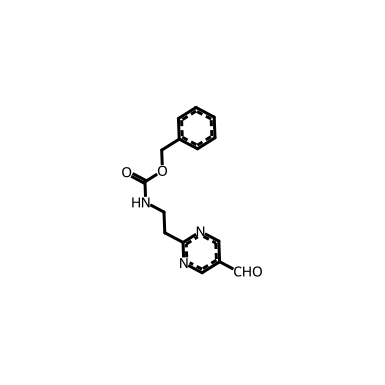 O=Cc1cnc(CCNC(=O)OCc2ccccc2)nc1